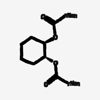 CCCCCCCCCC(=O)O[C@@H]1CCCC[C@H]1OC(=O)CCCCCCCCC